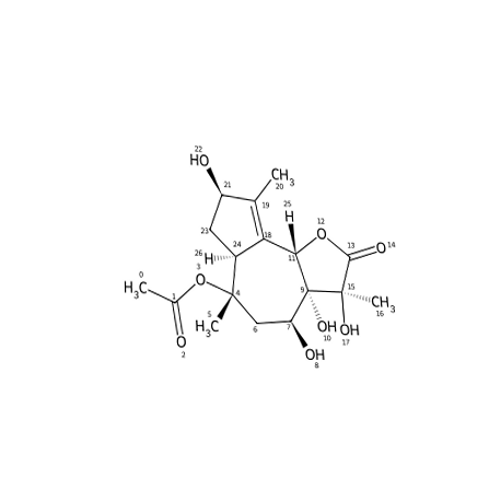 CC(=O)O[C@@]1(C)C[C@H](O)[C@@]2(O)[C@@H](OC(=O)[C@@]2(C)O)C2=C(C)[C@H](O)C[C@@H]21